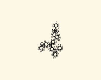 c1ccc(-c2nc3ccc4c(-c5ccc(N(c6ccc7oc8ccccc8c7c6)c6ccc7c8ccccc8n(-c8ccccc8)c7c6)cc5)cccc4c3o2)cc1